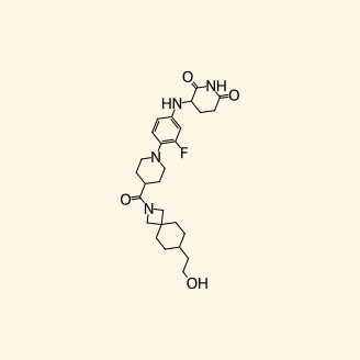 O=C1CCC(Nc2ccc(N3CCC(C(=O)N4CC5(CCC(CCO)CC5)C4)CC3)c(F)c2)C(=O)N1